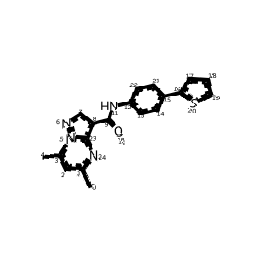 Cc1cc(C)n2ncc(C(=O)Nc3ccc(-c4cccs4)cc3)c2n1